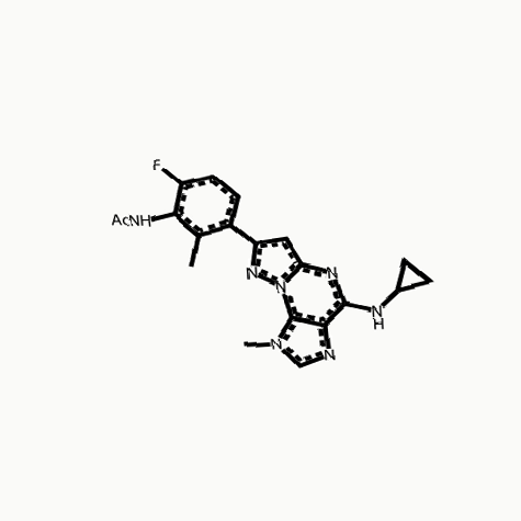 CC(=O)Nc1c(F)ccc(-c2cc3nc(NC4CC4)c4ncn(C)c4n3n2)c1C